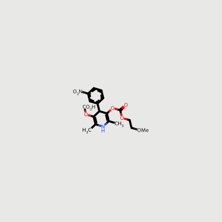 COCCOC(=O)OC1=C(C)NC(C)=C(OC(=O)O)C1c1cccc([N+](=O)[O-])c1